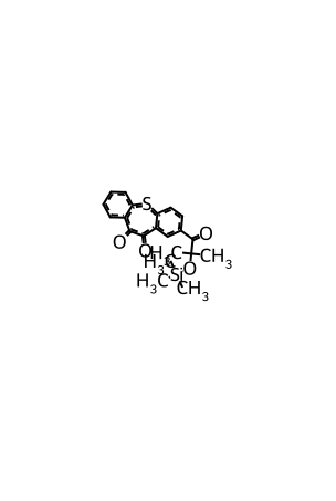 CC(C)(O[Si](C)(C)C)C(=O)c1ccc2sc3ccccc3c(=O)c(=O)c2c1